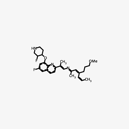 C\C=C/C(=C\C(C)=N\C=C(/C)c1ccc2cc(F)cc(OC3CCNCC3F)c2n1)CCCOC